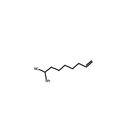 C=CCCCCCC(C#N)CCC